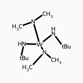 C[N](C)[W]([NH]C(C)(C)C)([NH]C(C)(C)C)[N](C)C